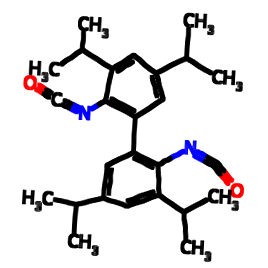 CC(C)c1cc(-c2cc(C(C)C)cc(C(C)C)c2N=C=O)c(N=C=O)c(C(C)C)c1